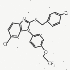 FC(F)(F)COc1ccc(-n2c(SCc3ccc(Cl)cc3)nc3ccc(Cl)cc32)cc1